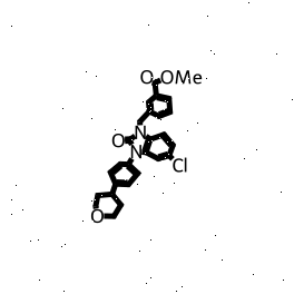 COC(=O)c1cccc(Cn2c(=O)n(-c3ccc(C4CCOCC4)cc3)c3cc(Cl)ccc32)c1